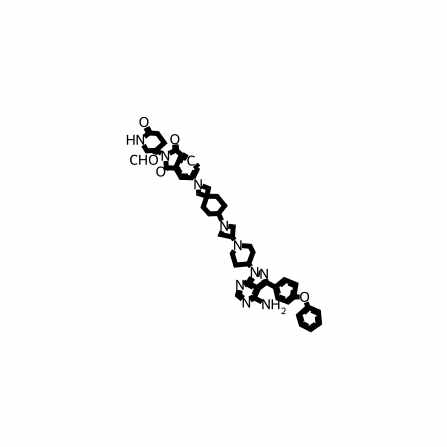 Nc1ncnc2c1c(-c1ccc(Oc3ccccc3)cc1)nn2C1CCN(C2CN(C3CCC4(CC3)CN(c3ccc5c(c3)C(=O)N(C3(C=O)CCC(=O)NC3)C5=O)C4)C2)CC1